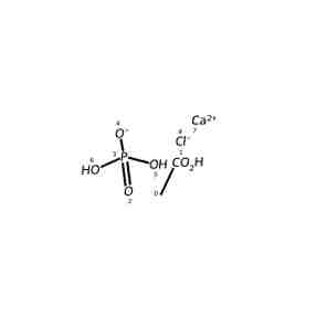 CC(=O)O.O=P([O-])(O)O.[Ca+2].[Cl-]